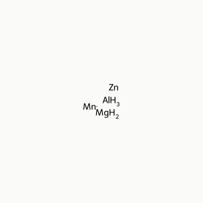 [AlH3].[MgH2].[Mn].[Zn]